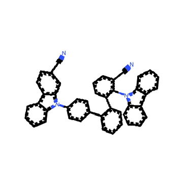 N#Cc1ccc2c3ccccc3n(-c3ccc(-c4ccccc4-c4cccc(C#N)c4-n4c5ccccc5c5ccccc54)cc3)c2c1